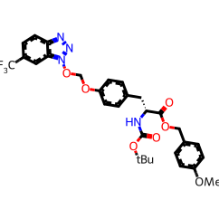 COc1ccc(COC(=O)[C@@H](Cc2ccc(OCOn3nnc4ccc(C(F)(F)F)cc43)cc2)NC(=O)OC(C)(C)C)cc1